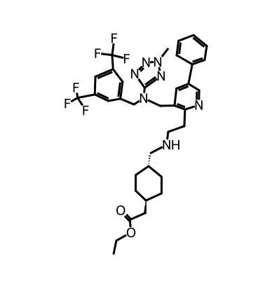 CCOC(=O)C[C@H]1CC[C@H](CNCCc2ncc(-c3ccccc3)cc2CN(Cc2cc(C(F)(F)F)cc(C(F)(F)F)c2)c2nnn(C)n2)CC1